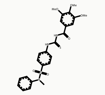 COc1cc(C(=O)NC(=S)Nc2ccc(S(=O)(=O)N(C)c3ccccc3)cc2)cc(OC)c1OC